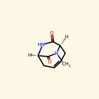 CN1C(=O)[C@H]2C/C=C\C[C@@H]1C(=O)N2